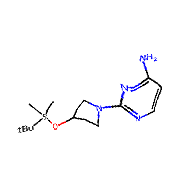 CC(C)(C)[Si](C)(C)OC1CN(c2nccc(N)n2)C1